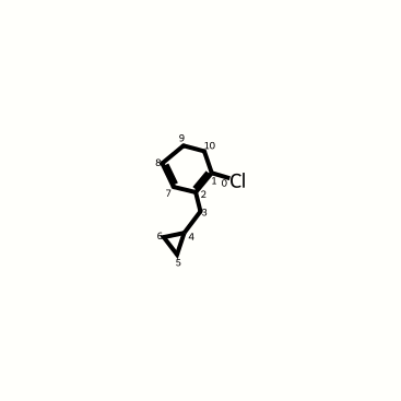 ClC1=C(CC2CC2)C=CCC1